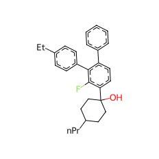 CCCC1CCC(O)(c2ccc(-c3ccccc3)c(-c3ccc(CC)cc3)c2F)CC1